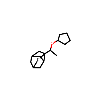 CC(OC1CCCC1)C12CC3CC(CC1C3)C2